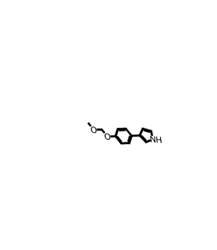 COCOc1ccc(-c2cc[nH]c2)cc1